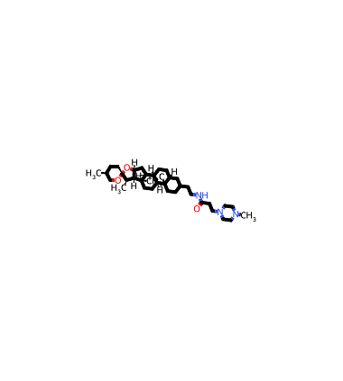 C[C@H]1CC[C@@]2(OC1)O[C@H]1C[C@H]3[C@@H]4CC[C@@H]5CC(CCNC(=O)CCN6CCN(C)CC6)CC[C@]5(C)[C@H]4CC[C@]3(C)[C@H]1[C@@H]2C